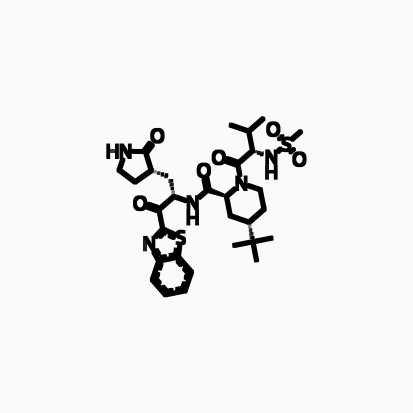 CC(C)[C@H](NS(C)(=O)=O)C(=O)N1CC[C@H](C(C)(C)C)C[C@H]1C(=O)N[C@@H](C[C@@H]1CCNC1=O)C(=O)c1nc2ccccc2s1